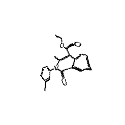 CCOC(=O)c1c(C)n(-c2cccc(C)c2)c(=O)c2ccccc12